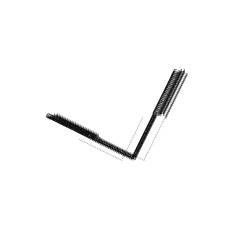 [Al].[Al].[Al].[Al].[Al].[Al].[Al].[Al].[Al].[Al].[Al].[Al].[Al].[Al].[Al].[Al].[Al].[Al].[Al].[Al].[Al].[Al].[Al].[Al].[Al].[Al].[Al].[Al].[Al].[Al].[Al].[Al].[Al].[Al].[Al].[Al].[Al].[Al].[Al].[Al].[Al].[Al].[Al].[Al].[Al].[Al].[Al].[Al].[Al].[Al].[Al].[Al].[Al].[CaH2].[CaH2].[CaH2].[CaH2].[CaH2].[CaH2].[CaH2].[CaH2].[CaH2].[CaH2].[CaH2].[CaH2].[CaH2].[CaH2].[CaH2].[CaH2].[CaH2].[CaH2].[CaH2].[CaH2].[CaH2].[CaH2].[CaH2].[CaH2].[CaH2].[CaH2].[CaH2].[CaH2].[CaH2].[CaH2].[CaH2].[CaH2].[CaH2].[CaH2].[CaH2].[CaH2].[CaH2].[CaH2].[CaH2].[CaH2].[CaH2].[CaH2].[CaH2].[CaH2].[CaH2].[CaH2].[CaH2].[CaH2].[CaH2].[CaH2].[CaH2].[CaH2].[CaH2]